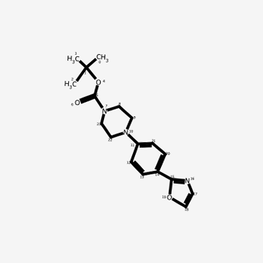 CC(C)(C)OC(=O)N1CCN(c2ccc(-c3ncco3)cc2)CC1